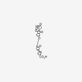 O=C1CCC(N2C(=O)c3ccc(OCCCCCN4CCN(c5ccc(C(=O)O)cn5)CC4=O)cc3C2=O)C(=O)N1